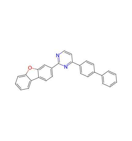 c1ccc(-c2ccc(-c3ccnc(-c4ccc5c(c4)oc4ccccc45)n3)cc2)cc1